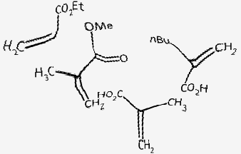 C=C(C)C(=O)O.C=C(C)C(=O)OC.C=C(CCCC)C(=O)O.C=CC(=O)OCC